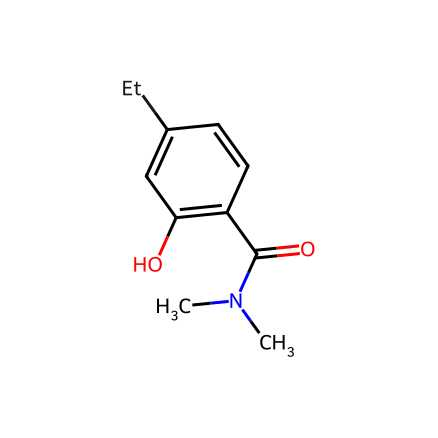 CCc1ccc(C(=O)N(C)C)c(O)c1